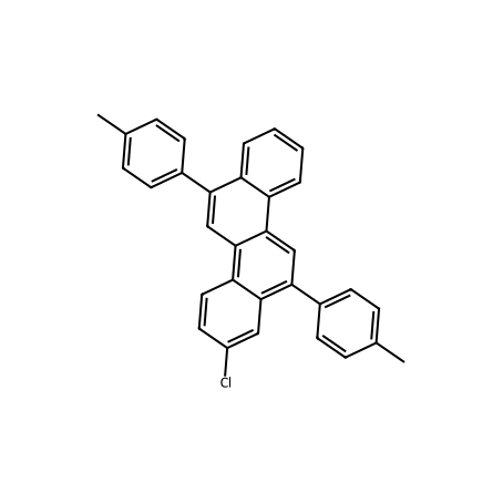 Cc1ccc(-c2cc3c4ccc(Cl)cc4c(-c4ccc(C)cc4)cc3c3ccccc23)cc1